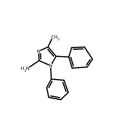 Cc1nc(N)n(-c2ccccc2)c1-c1ccccc1